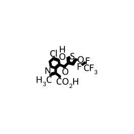 CC1=C(CC(=O)O)C2=C(C(=O)c3csc(OC(F)(F)C(F)(F)F)c3)C(O)=C(Cl)CC2=N1